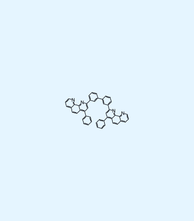 c1ccc(-c2cc(-c3cccc(-c4cccc(-c5cc(-c6ccccc6)c6ccc7cccnc7c6n5)c4)c3)nc3c2ccc2cccnc23)cc1